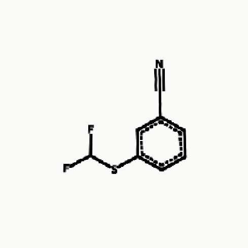 N#Cc1cccc(SC(F)F)c1